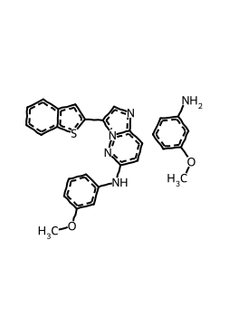 COc1cccc(N)c1.COc1cccc(Nc2ccc3ncc(-c4cc5ccccc5s4)n3n2)c1